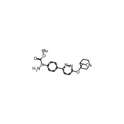 CC(C)(C)OC(=O)N(N)c1ccc(-c2ccc(OC3CN4CCC3CC4)nn2)cc1